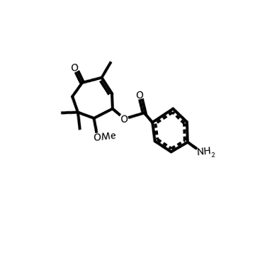 COC1C(OC(=O)c2ccc(N)cc2)C=C(C)C(=O)CC1(C)C